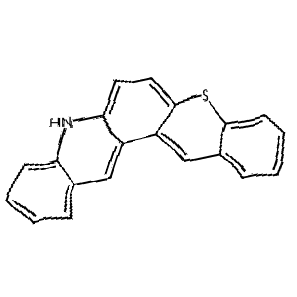 C1=c2c(ccc3c2=Cc2ccccc2S3)Nc2ccccc21